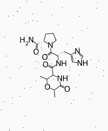 CC1OC(C)C(C(=O)N[C@@H](Cc2c[nH]cn2)C(=O)N2CCC[C@H]2C(N)=O)NC1=O